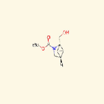 CC(C)(C)OC(=O)N1C[C@H]2C3C2[C@]31CO